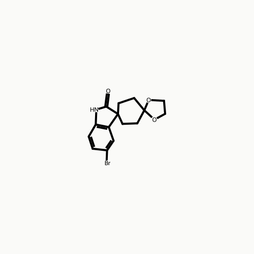 O=C1Nc2ccc(Br)cc2C12CCC1(CC2)OCCO1